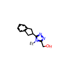 CCn1c(CO)nnc1C1Cc2ccccc2C1